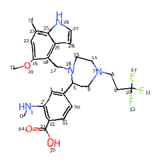 CNc1cc(C2CN(CCC(F)(F)F)CCN2Cc2c(OC)cc(C)c3[nH]ccc23)ccc1C(=O)O